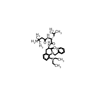 CCN(CC)c1cccc2c1N(Cc1ccccn1)C(=O)C(NC(=O)[C@@H](CC(C)C)NC(=O)CC(C)(C)N)C2